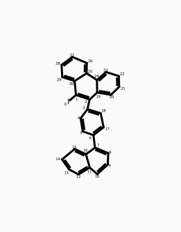 Ic1c(-c2ccc(-c3cccc4ccccc34)cc2)c2ccccc2c2ccccc12